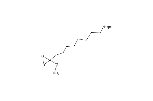 CCCCCCCCCCCCCCCC1(ON)OO1